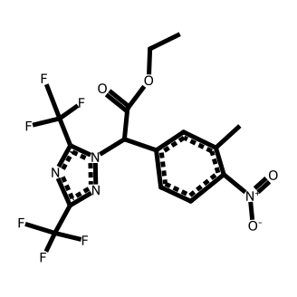 CCOC(=O)C(c1ccc([N+](=O)[O-])c(C)c1)n1nc(C(F)(F)F)nc1C(F)(F)F